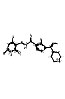 CC=C(c1scc(C(=O)NCc2c(C)cc(C)[nH]c2=O)c1C)C1CCNCC1